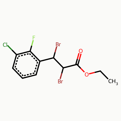 CCOC(=O)C(Br)C(Br)c1cccc(Cl)c1F